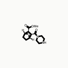 COC(=O)[C@H]1[C@@H](C(=O)N2CCNCC2)[C@@H]2CC[C@H]1O2